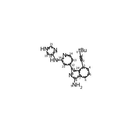 CC(C)(C)C#Cc1cccc2c(N)nn(-c3ccnc(Nc4c[nH]cn4)c3)c12